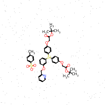 CC(C)(C)OC(=O)COc1ccc([S+](c2ccc(OCC(=O)OC(C)(C)C)cc2)c2cccc(OCc3ccccn3)c2)cc1.Cc1ccc(S(=O)(=O)[O-])cc1